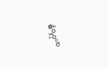 c1ccc(COc2ccc(Nc3cccc(-c4nnn[nH]4)c3)c(C3CC3)c2)nc1